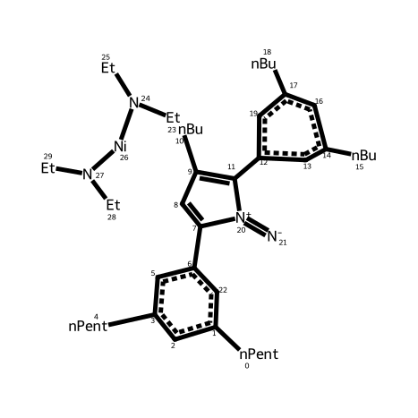 CCCCCc1cc(CCCCC)cc(C2=CC(CCCC)=C(c3cc(CCCC)cc(CCCC)c3)[N+]2=[N-])c1.CC[N](CC)[Ni][N](CC)CC